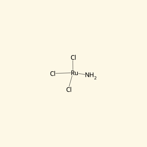 [NH2][Ru]([Cl])([Cl])[Cl]